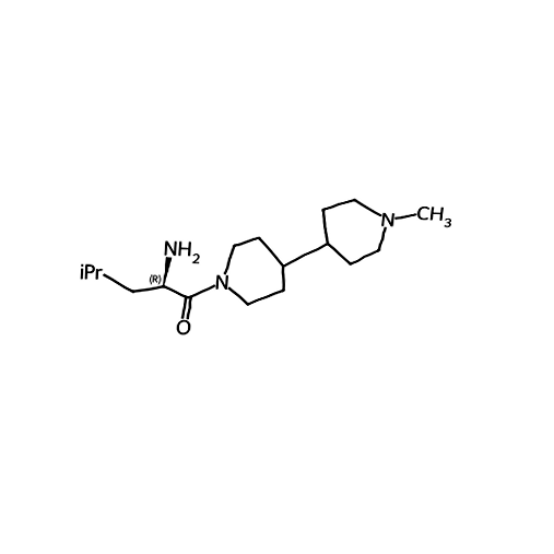 CC(C)C[C@@H](N)C(=O)N1CCC(C2CCN(C)CC2)CC1